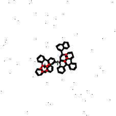 c1ccc(-c2cc(N(c3cccc(-c4cccc5ccccc45)c3)c3ccccc3-c3cc4ccccc4c4ccccc34)ccc2-c2ccccc2-n2c3ccccc3c3ccccc32)cc1